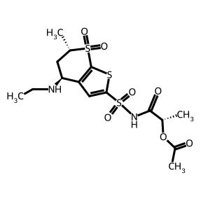 CCN[C@H]1C[C@H](C)S(=O)(=O)c2sc(S(=O)(=O)NC(=O)[C@H](C)OC(C)=O)cc21